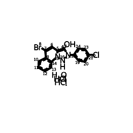 Cl.Cl.O.OC1=C2C=C(Br)c3ccccc3N2NN1c1ccc(Cl)cc1